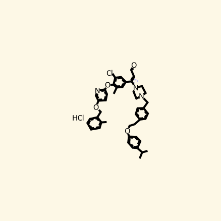 Cc1ccccc1COc1ccc(Oc2c(C)cc(/C(=C\C=O)N3CCN(Cc4ccc(CCOc5ccc(C(C)C)cc5)cc4)CC3)cc2Cl)nc1.Cl